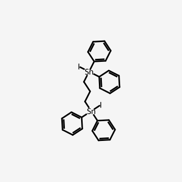 [I][Sn]([CH2]C[CH2][Sn]([I])([c]1ccccc1)[c]1ccccc1)([c]1ccccc1)[c]1ccccc1